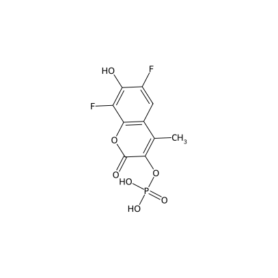 Cc1c(OP(=O)(O)O)c(=O)oc2c(F)c(O)c(F)cc12